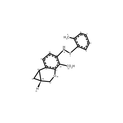 Cc1ccccc1SNc1ccc2c(c1C(=O)O)OC[C@@H]1CC21